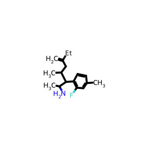 C=C(CC)CC(C)C(c1ccc(C)cc1F)C(C)N